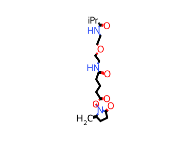 C=C1CCC(=O)N1OC(=O)CCCC(=O)NCCOCCNC(=O)C(C)C